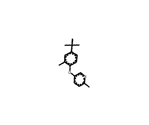 Cc1ccc(Oc2ccc(C(C)(C)C)cc2C)cn1